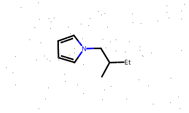 CCC(C)Cn1cccc1